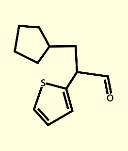 O=CC(CC1CCCC1)c1cccs1